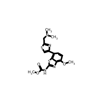 COC(=O)Nc1nc2c(OC)ccc(-c3csc(CN(C)C)n3)c2s1